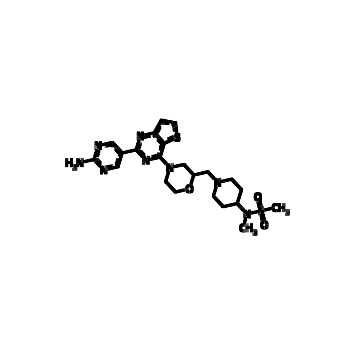 CN(C1CCN(CC2CN(c3nc(-c4cnc(N)nc4)nc4ccsc34)CCO2)CC1)S(C)(=O)=O